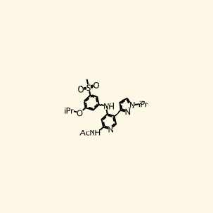 CC(=O)Nc1cc(Nc2cc(OC(C)C)cc(S(C)(=O)=O)c2)c(-c2ccn(C(C)C)n2)cn1